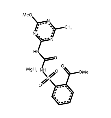 COC(=O)c1ccccc1S(=O)(=O)NC(=O)Nc1nc(C)nc(OC)n1.[MgH2]